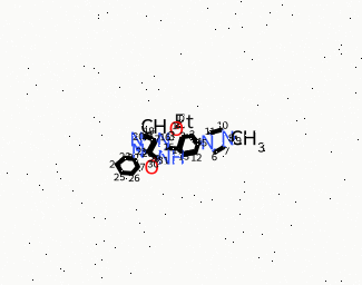 CCOc1cc(N2CCN(C)CC2)ccc1-c1nc2c(C)nn(C3CCCCC3)c2c(=O)[nH]1